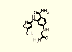 Cc1cc(Nc2cc(NCC(N)=O)ccc2C(N)=O)no1